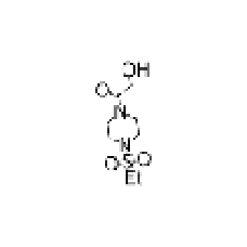 CCS(=O)(=O)N1CCN(C(=O)CO)CC1